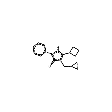 O=c1c(CC2CC2)c(C2CCC2)[nH]n1-c1ccccc1